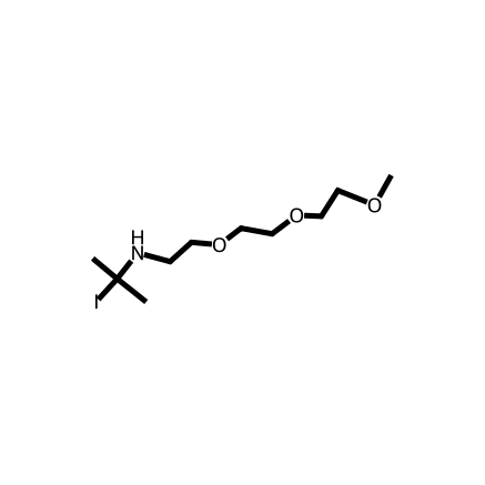 COCCOCCOCCNC(C)(C)I